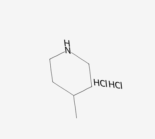 CC1CCNCC1.Cl.Cl